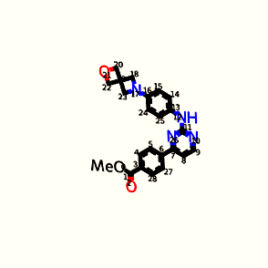 COC(=O)c1ccc(-c2ccnc(Nc3ccc(N4CC5(COC5)C4)cc3)n2)cc1